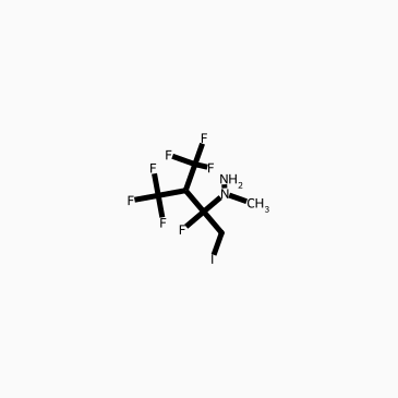 CN(N)C(F)(CI)C(C(F)(F)F)C(F)(F)F